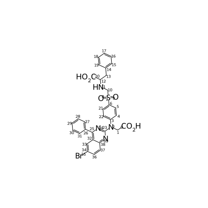 O=C(O)CN(c1ccc(S(=O)(=O)CNC(Cc2ccccc2)C(=O)O)cc1)c1nc(-c2ccccc2)c2cc(Br)ccc2n1